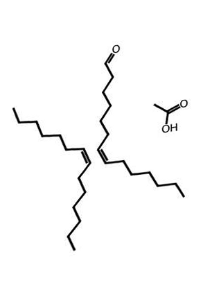 CC(=O)O.CCCCCC/C=C\CCCCCC.CCCCCC/C=C\CCCCCC=O